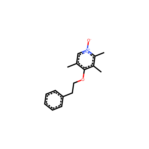 Cc1c[n+]([O-])c(C)c(C)c1OCCc1ccccc1